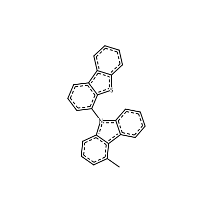 Cc1cccc2c1c1ccccc1n2-c1cccc2c1sc1ccccc12